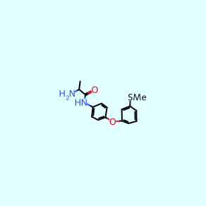 CSc1cccc(Oc2ccc(NC(=O)C(C)N)cc2)c1